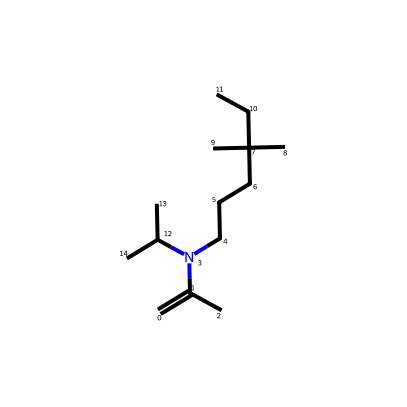 C=C(C)N(CCCC(C)(C)CC)C(C)C